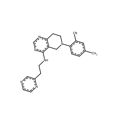 Cc1ccc(N2CCc3ncnc(NCCc4cnccn4)c3C2)c(C#N)c1